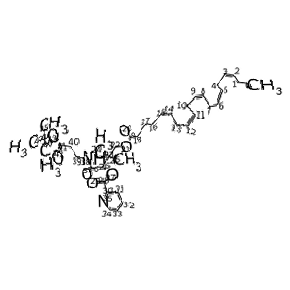 CC/C=C\C/C=C\C/C=C\C/C=C\C/C=C\CCCC(=O)OCC(C)(C)[C@@H](OC(=O)c1ccccn1)C(=O)NCCC(=O)OC(C)(C)C